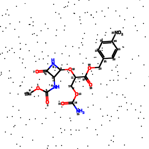 CC(C)(C)OC(=O)NC1C(=O)NC1OC(COC(N)=O)C(=O)OCc1ccc([N+](=O)[O-])cc1